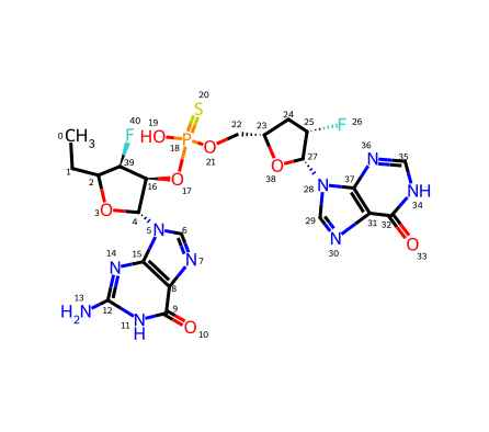 CCC1O[C@@H](n2cnc3c(=O)[nH]c(N)nc32)[C@H](OP(O)(=S)OC[C@@H]2C[C@H](F)[C@H](n3cnc4c(=O)[nH]cnc43)O2)[C@@H]1F